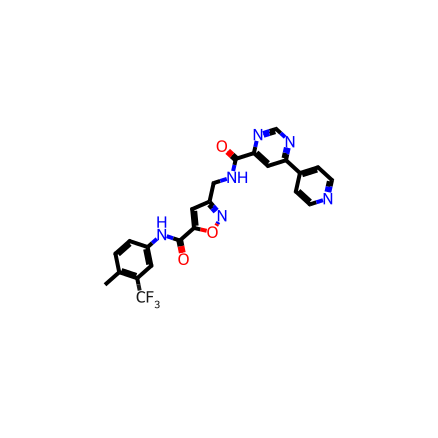 Cc1ccc(NC(=O)c2cc(CNC(=O)c3cc(-c4ccncc4)ncn3)no2)cc1C(F)(F)F